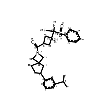 CC(C)c1cccc(C2CCC3(C2)CN(C(=O)C2CC(O)(C(F)(F)S(=O)(=O)c4ccccc4)C2)C3)c1